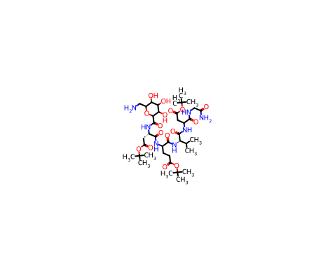 CC(C)[C@H](NC(=O)C(CCC(=O)OC(C)(C)C)NC(=O)[C@H](CC(=O)OC(C)(C)C)NC(=O)C1OC(CN)C(O)C(O)C1O)C(=O)NC(CC(=O)OC(C)(C)C)C(=O)NCC(N)=O